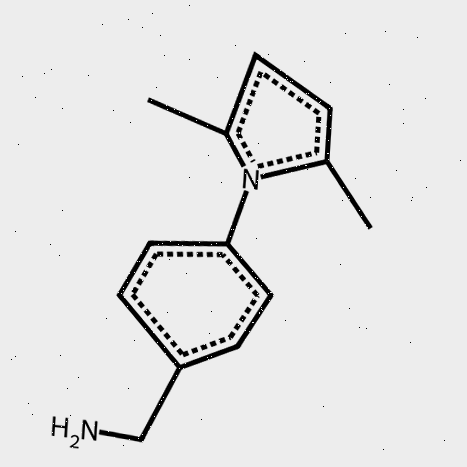 Cc1ccc(C)n1-c1ccc(CN)cc1